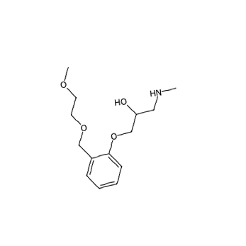 CNCC(O)COc1ccccc1COCCOC